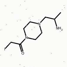 CC(N)CN1CCN(C(=O)CI)CC1